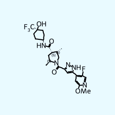 COc1cc(-c2cc(C(=O)N3C[C@@H](C)[C@@H](C(=O)N[C@H]4CC[C@@](O)(C(F)(F)F)CC4)C[C@@H]3C)n[nH]2)c(F)cn1